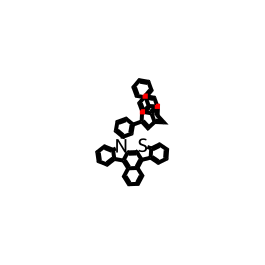 C1=C(c2ccccc2)/C=C(c2cccc(-n3c4ccccc4c4c5ccccc5c5c6ccccc6sc5c43)c2)\C=C(c2ccccc2)/C=C/1